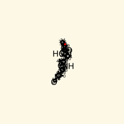 CC1CN(C2COC2)CCN1c1ccc(Nc2cc(-c3ccnc(N4CCn5c(cc6c5C5CCC6C5)C4=O)c3CO)cn(C)c2=O)nc1